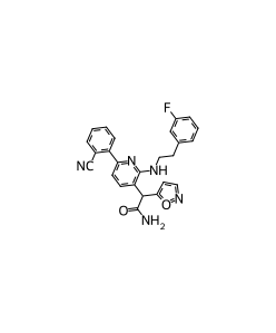 N#Cc1ccccc1-c1ccc(C(C(N)=O)c2ccno2)c(NCCc2cccc(F)c2)n1